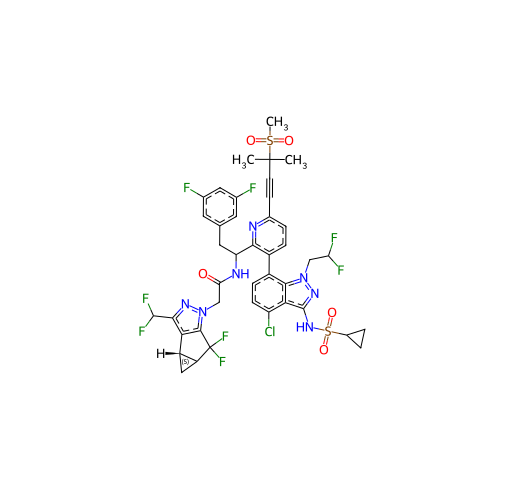 CC(C)(C#Cc1ccc(-c2ccc(Cl)c3c(NS(=O)(=O)C4CC4)nn(CC(F)F)c23)c(C(Cc2cc(F)cc(F)c2)NC(=O)Cn2nc(C(F)F)c3c2C(F)(F)C2C[C@H]32)n1)S(C)(=O)=O